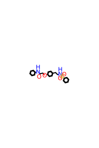 O=C(COc1ccc(CCNS(=O)(=O)c2ccccc2)cc1)Nc1ccccc1